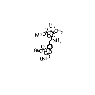 COC(=O)OC(C)[C@H](C)OC(=O)[C@@H](N)Cc1ccc(OC(=O)OC(C)(C)C)c(OC(=O)OC(C)(C)C)c1